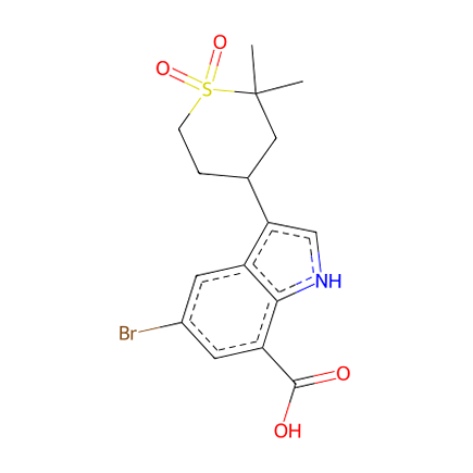 CC1(C)CC(c2c[nH]c3c(C(=O)O)cc(Br)cc23)CCS1(=O)=O